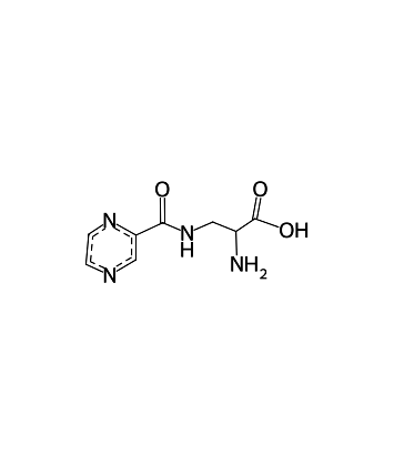 NC(CNC(=O)c1cnccn1)C(=O)O